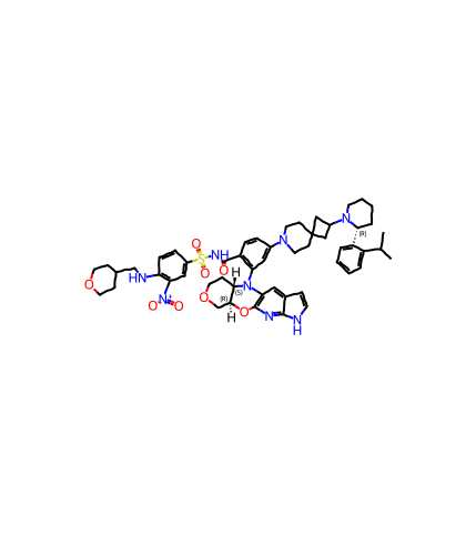 CC(C)c1ccccc1[C@H]1CCCCN1C1CC2(CCN(c3ccc(C(=O)NS(=O)(=O)c4ccc(NCC5CCOCC5)c([N+](=O)[O-])c4)c(N4c5cc6cc[nH]c6nc5O[C@H]5COCC[C@@H]54)c3)CC2)C1